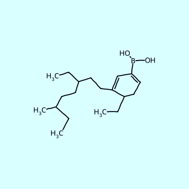 CCC(C)CCC(CC)CCC1=CC(B(O)O)=CCC1CC